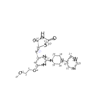 COCCOc1cc(/C=C2\SC(=O)NC2=O)nc(N2CCN(c3cncnc3)CC2)n1